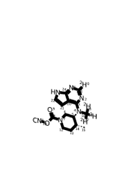 [2H]c1nc(N([C@H]2CN(C(=O)O[N+]#[C-])CC[C@H]2C)C([2H])([2H])[2H])c2cc[nH]c2n1